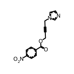 O=C(OCC#CCn1ccnc1)c1ccc([N+](=O)[O-])cc1